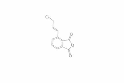 O=C1OC(=O)c2c(C=CCCl)cccc21